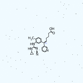 Cc1ccc(/C(=C\CCCC(=O)O)c2cccnc2)cc1NC(=NC#N)NC1CC1